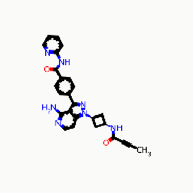 CC#CC(=O)N[C@H]1C[C@@H](n2nc(-c3ccc(C(=O)Nc4ccccn4)cc3)c3c(N)nccc32)C1